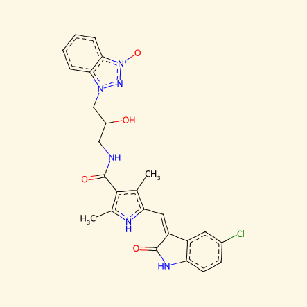 Cc1[nH]c(C=C2C(=O)Nc3ccc(Cl)cc32)c(C)c1C(=O)NCC(O)Cn1n[n+]([O-])c2ccccc21